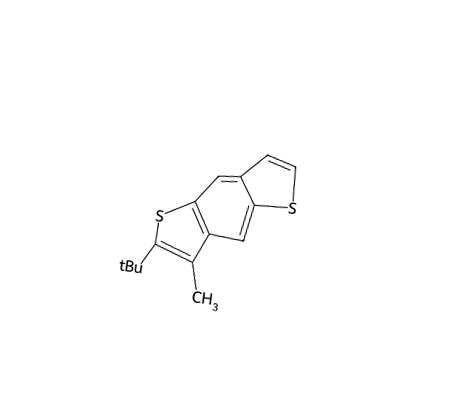 Cc1c(C(C)(C)C)sc2cc3ccsc3cc12